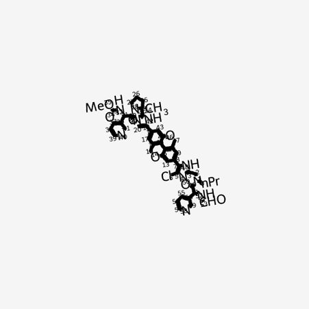 CCCN(Cc1nc(Cl)c(-c2cc3c4c(c2)OCc2cc(-c5cnc([C@]6(C)CCCN6C(=O)C(NC(=O)OC)c6cccnc6)[nH]5)cc(c2-4)OC3)[nH]1)C(=O)C(NC=O)c1cccnc1